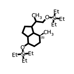 CC[Si](CC)(CC)OCC(C)C1CCC2C(O[Si](CC)(CC)CC)CC[C@H](C)C12